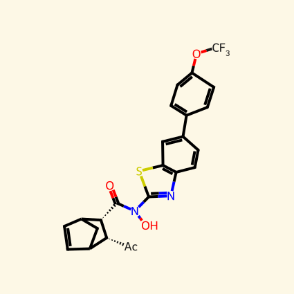 CC(=O)[C@@H]1C2C=CC(C2)[C@@H]1C(=O)N(O)c1nc2ccc(-c3ccc(OC(F)(F)F)cc3)cc2s1